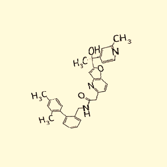 Cc1ccc(-c2ccccc2CNC(=O)Cc2ccc3oc([C@@](C)(O)c4ccnc(C)c4)cc3n2)c(C)c1